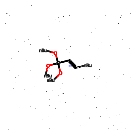 CCCC/C=C/[Si](OCCCC)(OCCCC)OCCCC